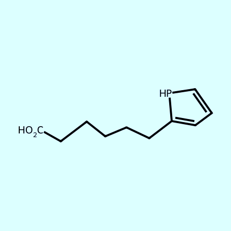 O=C(O)CCCCCc1ccc[pH]1